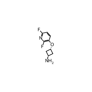 N[C@H]1C[C@H](Oc2ccc(F)nc2F)C1